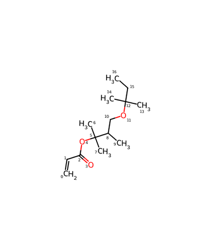 C=CC(=O)OC(C)(C)C(C)COC(C)(C)CC